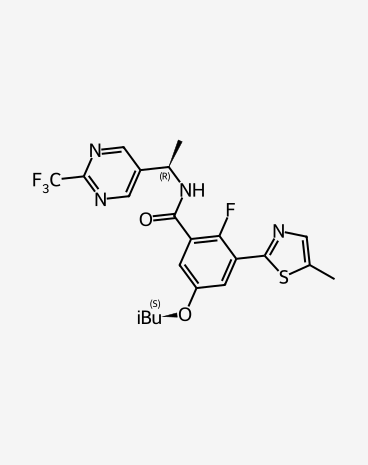 CC[C@H](C)Oc1cc(C(=O)N[C@H](C)c2cnc(C(F)(F)F)nc2)c(F)c(-c2ncc(C)s2)c1